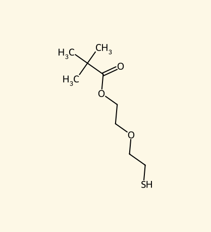 CC(C)(C)C(=O)OCCOCCS